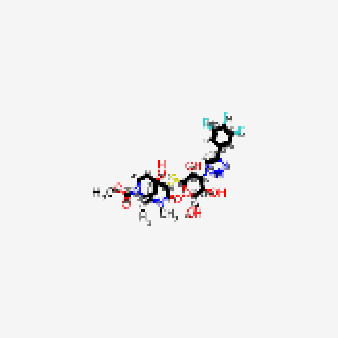 CCN(C)C(=O)[C@H](S[C@@H]1O[C@H](CO)[C@H](O)[C@H](n2cc(-c3cc(F)c(F)c(F)c3)nn2)[C@H]1O)C1(O)CCN(C(=O)OC)CC1